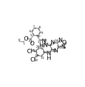 CCOC(=O)c1ccccc1C=NNc1nc2nonc2nc1Nc1ccc(Cl)c(Cl)c1